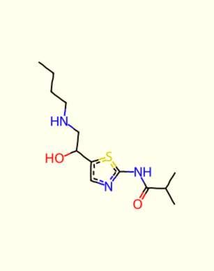 CCCCNCC(O)c1cnc(NC(=O)C(C)C)s1